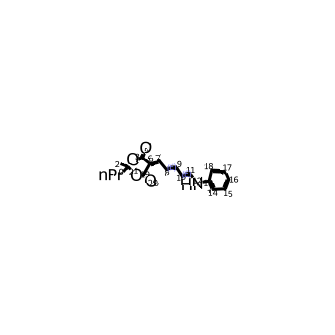 CCCC1(C)OC(=O)C(=C/C=C/C=C/Nc2ccccc2)C(=O)O1